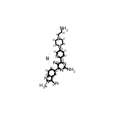 CC(C)c1c2cc(-c3nc(N)nc(-c4ccc(N5CCN(CCN)CC5)cn4)c3F)ccc2nn1C.[N]